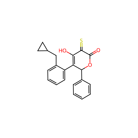 O=C1OC(c2ccccc2)C(c2ccccc2CC2CC2)=C(O)C1=S